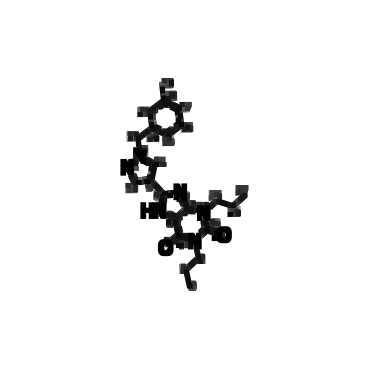 CCCn1c(=O)c2[nH]c(-c3cnn(Cc4cccc(C)c4)c3)nc2n(CCC)c1=O